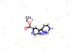 CCOC(=O)c1cc2c(cn1)[nH]c1ncccc12